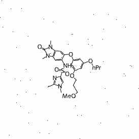 CCCOc1cc(OCCCOC)cc(Oc2cc3c(cc2NS(=O)(=O)c2cn(C)c(C)n2)n(C)c(=O)n3C)c1